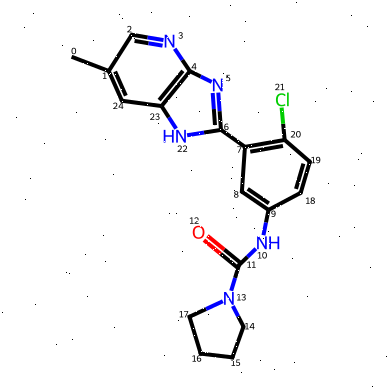 Cc1cnc2nc(-c3cc(NC(=O)N4CCCC4)ccc3Cl)[nH]c2c1